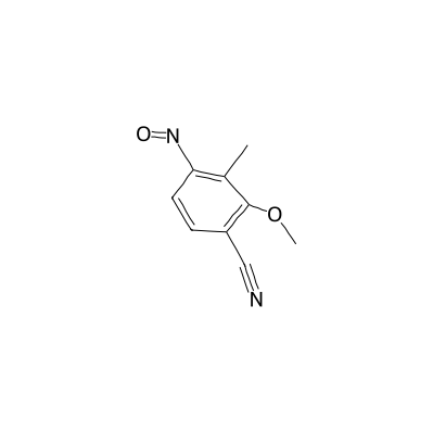 COc1c(C#N)ccc(N=O)c1C